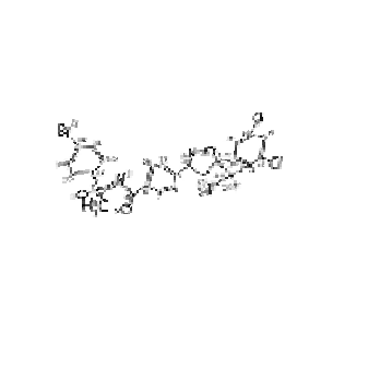 CS(=O)(=NC(=O)c1ccc(C2=NOC(c3cc(Cl)cc(Cl)c3)(C(F)(F)F)C2)cc1)c1ccc(Br)cc1